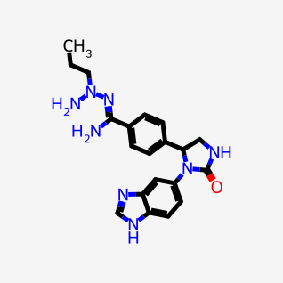 CCCN(N)/N=C(\N)c1ccc(C2CNC(=O)N2c2ccc3[nH]cnc3c2)cc1